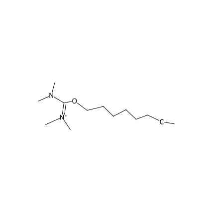 CCCCCCCCOC(N(C)C)=[N+](C)C